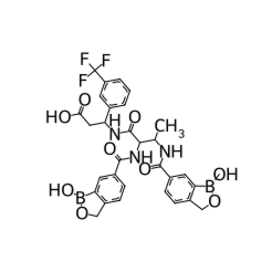 CC(NC(=O)c1ccc2c(c1)B(O)OC2)C(NC(=O)c1ccc2c(c1)B(O)OC2)C(=O)NC(CC(=O)O)c1cccc(C(F)(F)F)c1